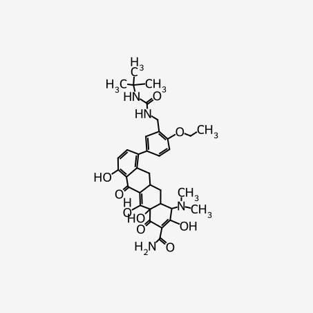 CCOc1ccc(-c2ccc(O)c3c2CC2CC4C(N(C)C)C(O)=C(C(N)=O)C(=O)C4(O)C(O)=C2C3=O)cc1CNC(=O)NC(C)(C)C